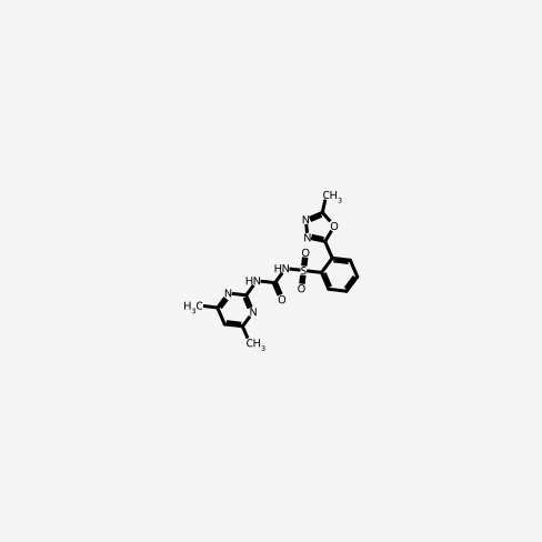 Cc1cc(C)nc(NC(=O)NS(=O)(=O)c2ccccc2-c2nnc(C)o2)n1